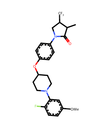 COc1ccc(F)c(N2CCC(Oc3ccc(N4CC(C(F)(F)F)C(C)C4=O)cc3)CC2)c1